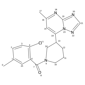 Cc1ccc(Cl)c(C(=O)N2CCCC(c3cc(C)nc4ncnn34)C2)c1